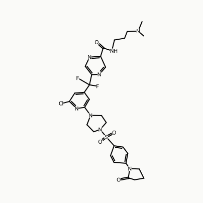 CN(C)CCCNC(=O)c1cnc(C(F)(F)c2cc(Cl)nc(N3CCN(S(=O)(=O)c4ccc(N5CCCC5=O)cc4)CC3)c2)cn1